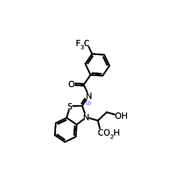 O=C(/N=c1\sc2ccccc2n1C(CO)C(=O)O)c1cccc(C(F)(F)F)c1